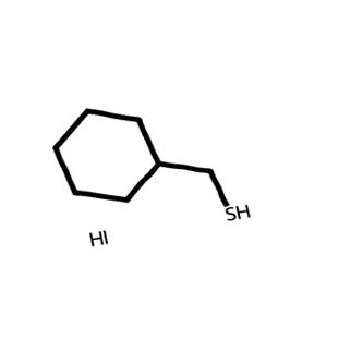 I.SCC1CCCCC1